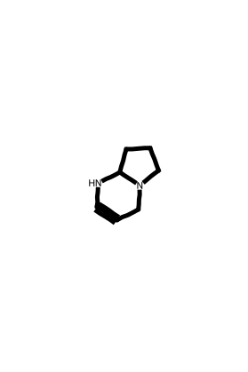 C1#CNC2CCCN2C1